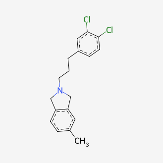 Cc1ccc2c(c1)CN(CCCc1ccc(Cl)c(Cl)c1)C2